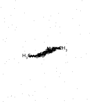 CCCCCCCOc1ccc(OC(=O)C2CCC(C(=O)Oc3ccc(C4CCC(CCCCC)CC4)cc3C=N)CC2)cc1